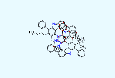 CCCCc1c(CCCC)c(N2NN=C(c3c4c(c(-c5ccccc5)c(C(C)(C)C)c3C(C)(C)C)N=c3ccc5c(c3-4)N=c3ccccc3=5)C(c3ccccc3-c3ccccc3-c3ccccc3)=C2c2ccccc2)c2c(c1-c1ccccc1)N=c1ccc3c(c1-2)N=c1ccccc1=3